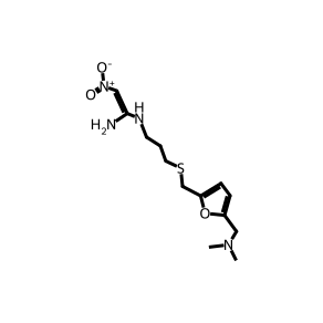 CN(C)Cc1ccc(CSCCCNC(N)=C[N+](=O)[O-])o1